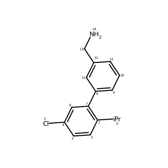 CC(C)c1ccc(Cl)cc1-c1cccc(CN)c1